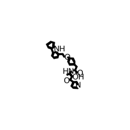 CC(=CC(=O)c1cccnc1)NC(Cc1ccc(OCCc2cccc3c2[nH]c2ccccc23)cc1)C(=O)O